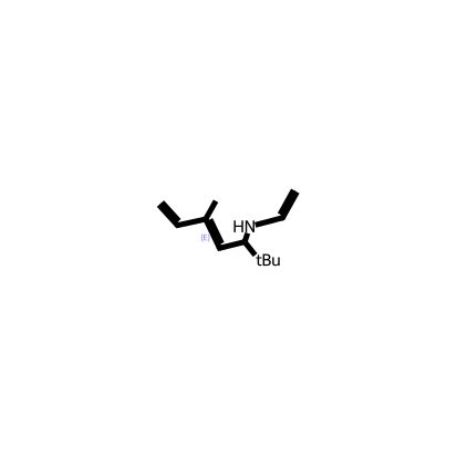 C=CNC(/C=C(\C)C=C)C(C)(C)C